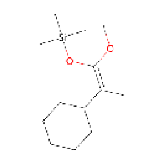 COC(O[Si](C)(C)C)=C(C)C1CCCCC1